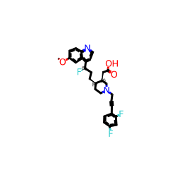 COc1ccc2nccc([C@@H](F)CC[C@@H]3CCN(CC#Cc4ccc(F)cc4F)C[C@@H]3CC(=O)O)c2c1